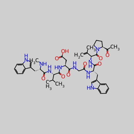 C=C(C)[C@H](NC(=O)[C@H](Cc1c[nH]c2ccccc12)NC(=O)CNC(=O)[C@H](CC(=O)O)NC(=O)[C@@H](NC(=O)[C@H](Cc1c[nH]c2ccccc12)NC)C(C)C)C(=O)N1CCC[C@H]1C(C)=O